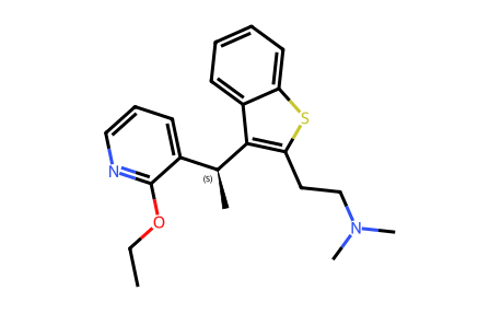 CCOc1ncccc1[C@H](C)c1c(CCN(C)C)sc2ccccc12